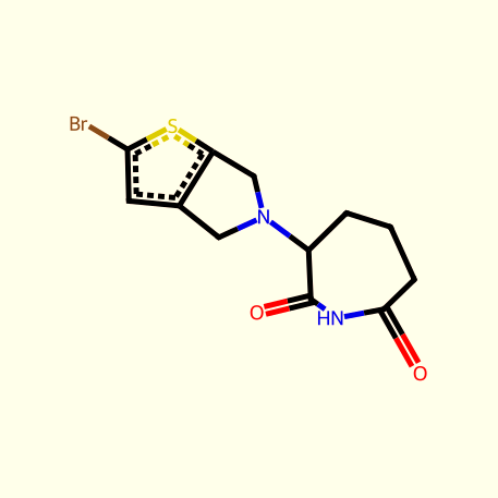 O=C1CCCC(N2Cc3cc(Br)sc3C2)C(=O)N1